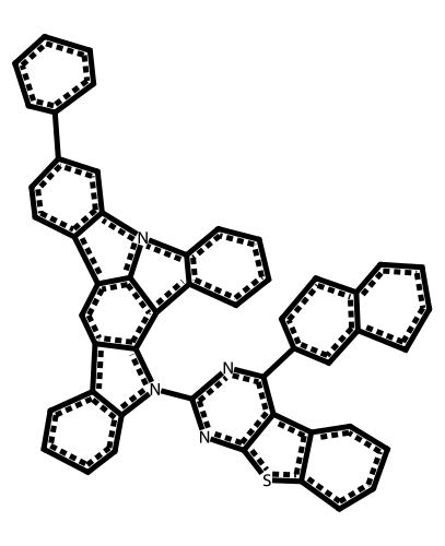 c1ccc(-c2ccc3c4cc5c6ccccc6n(-c6nc(-c7ccc8ccccc8c7)c7c(n6)sc6ccccc67)c5c5c6ccccc6n(c3c2)c45)cc1